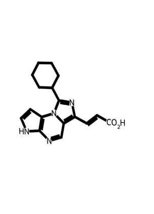 O=C(O)C=Cc1nc(C2CCCCC2)n2c1cnc1[nH]ccc12